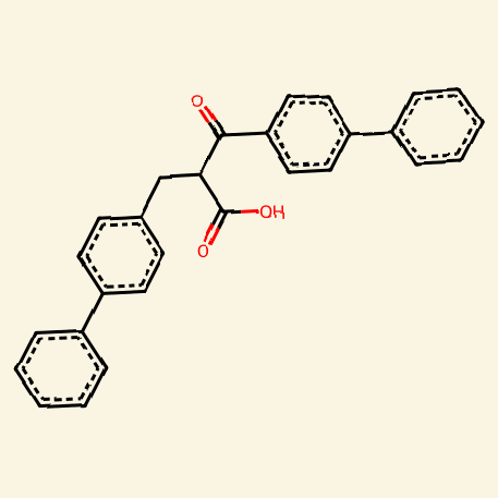 O=C(O)[C](Cc1ccc(-c2ccccc2)cc1)C(=O)c1ccc(-c2ccccc2)cc1